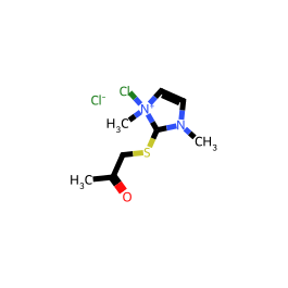 CC(=O)CSC1N(C)C=C[N+]1(C)Cl.[Cl-]